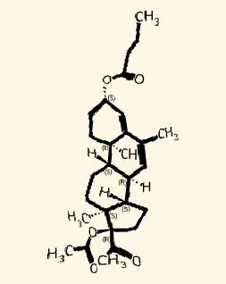 CCCC(=O)O[C@@H]1C=C2C(C)=C[C@@H]3[C@H](CC[C@@]4(C)[C@H]3CC[C@]4(OC(C)=O)C(C)=O)[C@@]2(C)CC1